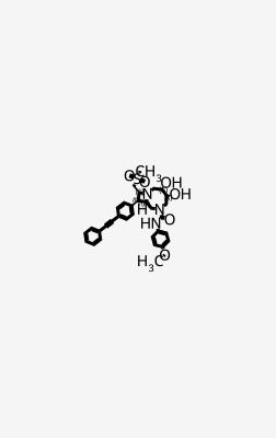 COc1ccc(NC(=O)N2C[C@@H](O)[C@@H](O)CN3[C@H](CS(C)(=O)=O)[C@H](c4ccc(C#Cc5ccccc5)cc4)[C@@H]3C2)cc1